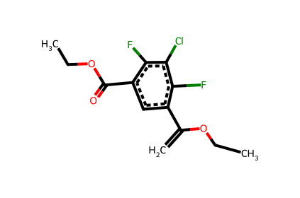 C=C(OCC)c1cc(C(=O)OCC)c(F)c(Cl)c1F